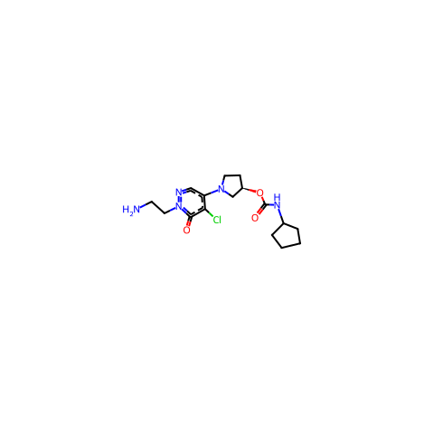 NCCn1ncc(N2CC[C@@H](OC(=O)NC3CCCC3)C2)c(Cl)c1=O